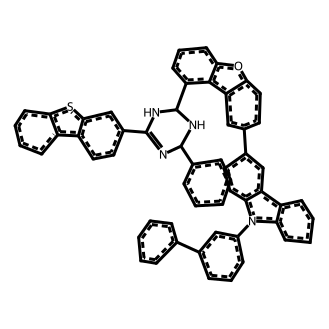 c1ccc(-c2cccc(-n3c4ccccc4c4cc(-c5ccc6oc7cccc(C8NC(c9ccc%10c(c9)sc9ccccc9%10)=NC(c9ccccc9)N8)c7c6c5)ccc43)c2)cc1